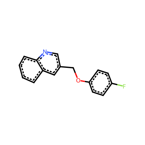 Fc1ccc(OCc2cnc3ccccc3c2)cc1